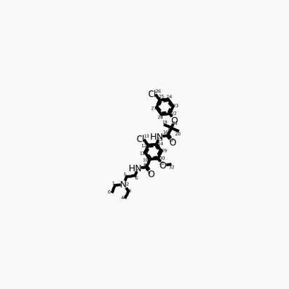 CCN(CC)CCNC(=O)c1cc(Cl)c(NC(=O)C(C)(C)Oc2ccc(Cl)cc2)cc1OC